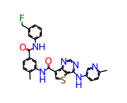 Cc1ccc(Nc2ncnc3c(C(=O)Nc4cc(C(=O)Nc5cccc(CF)c5)ccc4C)csc23)cn1